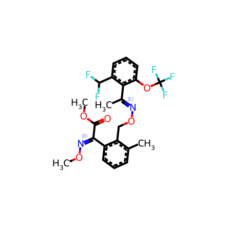 CO/N=C(/C(=O)OC)c1cccc(C)c1CO/N=C(\C)c1c(OC(F)(F)F)cccc1C(F)F